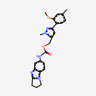 COc1cc(C)ccc1-c1cc(COC(=O)Nc2ccc3c(c2)nc2n3CCC2)n(C)n1